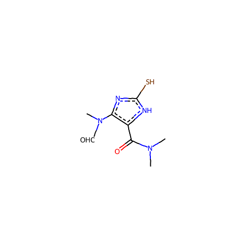 CN(C)C(=O)c1[nH]c(S)nc1N(C)C=O